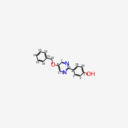 Oc1ccc(-c2ncc(OCc3ccccc3)cn2)cc1